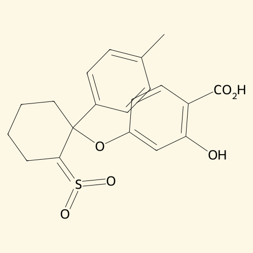 Cc1ccc(C2(Oc3ccc(C(=O)O)c(O)c3)CCCCC2=S(=O)=O)cc1